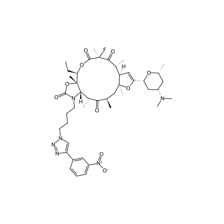 CC[C@H]1OC(=O)[C@@](C)(F)C(=O)[C@H](C)[C@H]2C=C([C@H]3C[C@@H](N(C)C)C[C@@H](C)O3)O[C@@]2(C)C[C@@H](C)C(=O)[C@H](C)[C@@H]2N(CCCCn3cc(-c4cccc([N+](=O)[O-])c4)nn3)C(=O)O[C@@]21C